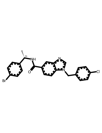 C[C@H](NC(=O)c1ccc2c(c1)ncn2Cc1ccc(Cl)cc1)c1ccc(Br)cc1